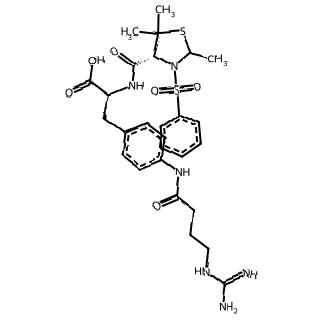 CC1SC(C)(C)[C@@H](C(=O)N[C@@H](Cc2ccc(NC(=O)CCCNC(=N)N)cc2)C(=O)O)N1S(=O)(=O)c1ccccc1